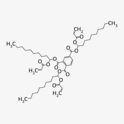 C=CC(=O)OC(CCCCCCCCC)OC(=O)c1ccc(C(=O)OC(CCCCCCCCC)OC(=O)C=C)c(C(=O)OC(CCCCCCCCC)OC(=O)C=C)c1